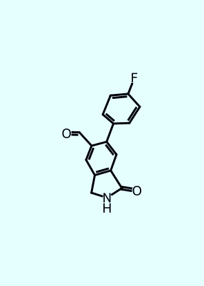 O=Cc1cc2c(cc1-c1ccc(F)cc1)C(=O)NC2